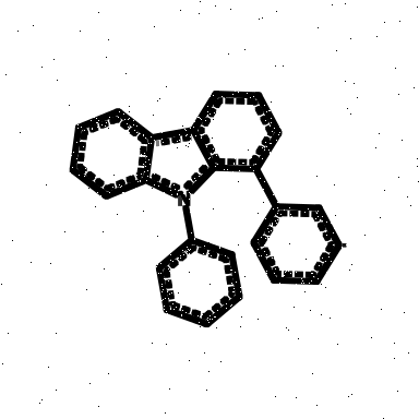 [c]1cccc(-c2cccc3c4ccccc4n(-c4ccccc4)c23)c1